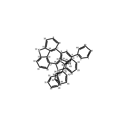 c1ccc(-c2cc(-c3cccc4sc5cccc(-c6nc7ccccc7n6-c6ccccc6)c5c34)nc(-c3ccccc3)n2)cc1